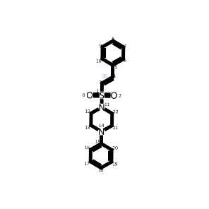 O=S(=O)(/C=C/c1ccccc1)N1CCN(c2ccccc2)CC1